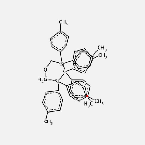 Cc1ccc([Si]2(c3ccc(C)cc3)CO[SiH2][Si](c3ccc(C)cc3)(c3ccc(C)cc3)[Si]2(c2ccc(C)cc2)c2ccc(C)cc2)cc1